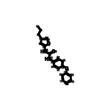 CCCc1cc(NC(=O)Nc2ccc(Oc3ccncc3)cc2)on1